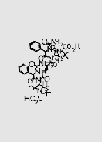 CC1(C)S[C@@H]2[C@H](N(C(=O)CCCC(=O)N(C(=O)C(NC(N)=O)c3ccccc3)[C@@H]3C(=O)N4[C@@H]3SC(C)(C)[C@@H]4C(=O)O)C(=O)C(NC(N)=O)c3ccccc3)C(=O)N2[C@H]1C(=O)O